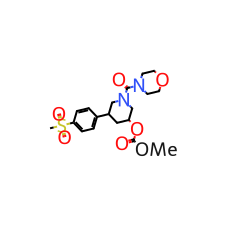 COC(=O)OC1CC(c2ccc(S(C)(=O)=O)cc2)CN(C(=O)N2CCOCC2)C1